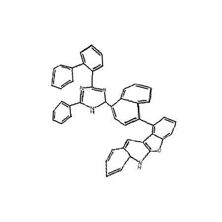 C1=CC2=Cc3c(oc4cccc(-c5ccc(C6N=C(c7ccccc7-c7ccccc7)N=C(c7ccccc7)N6)c6ccccc56)c34)NC2C=C1